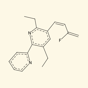 C=C(F)/C=C\c1cc(CC)c(-c2ccccn2)nc1CC